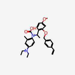 C=Cc1ccc(COc2cc(OC)ccc2C(C)N(C(=O)O)c2ccc(N(CC)CC)cc2C)cc1